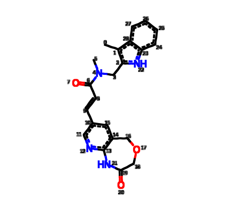 Cc1c(CN(C)C(=O)C=Cc2cnc3c(c2)COCC(=O)N3)[nH]c2ccccc12